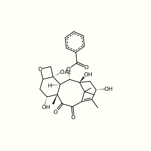 CC(=O)O[C@@]12COC1C[C@@H](O)[C@@]1(C)C(=O)C(=O)C3=C(C)[C@@H](O)C[C@@](O)([C@@H](OC(=O)c4ccccc4)[C@@H]12)C3(C)C